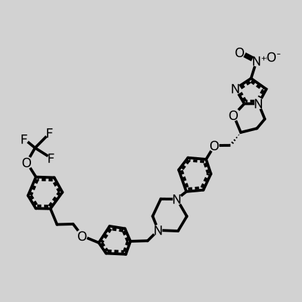 O=[N+]([O-])c1cn2c(n1)O[C@@H](COc1ccc(N3CCN(Cc4ccc(OCCc5ccc(OC(F)(F)F)cc5)cc4)CC3)cc1)CC2